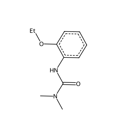 CCOc1ccccc1NC(=O)N(C)C